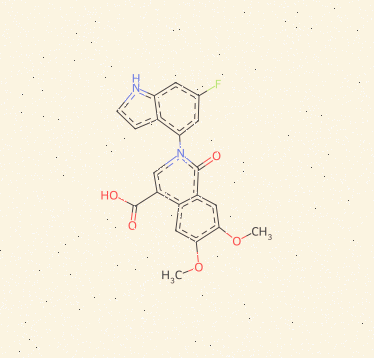 COc1cc2c(C(=O)O)cn(-c3cc(F)cc4[nH]ccc34)c(=O)c2cc1OC